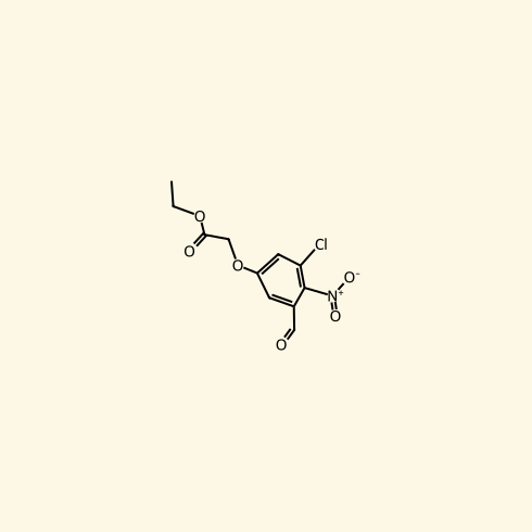 CCOC(=O)COc1cc(Cl)c([N+](=O)[O-])c(C=O)c1